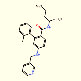 CSCCC(NC(=O)c1ccc(NCc2cccnc2)cc1-c1ccccc1C)C(=O)O